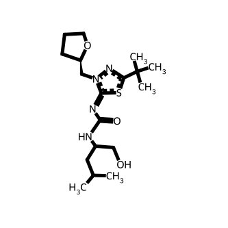 CC(C)CC(CO)NC(=O)/N=c1\sc(C(C)(C)C)nn1C[C@H]1CCCO1